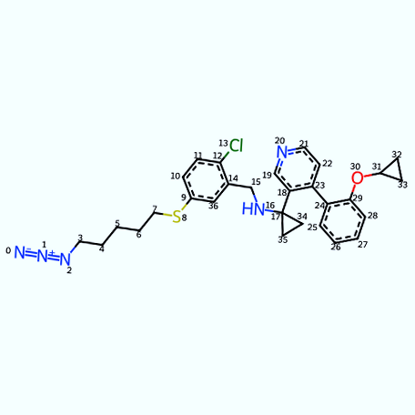 [N-]=[N+]=NCCCCCSc1ccc(Cl)c(CNC2(c3cnccc3-c3ccccc3OC3CC3)CC2)c1